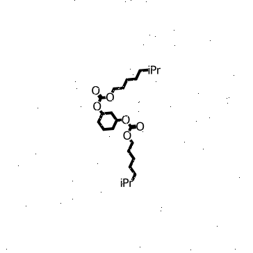 CC(C)CCCCCOC(=O)OC1CCCC(OC(=O)OCCCCCC(C)C)C1